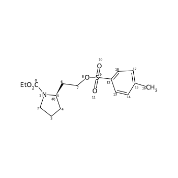 CCOC(=O)N1CCC[C@@H]1CCOS(=O)(=O)c1ccc(C)cc1